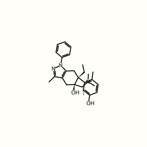 CC[C@]1(c2cc(O)ccc2C)Cc2c(c(C)nn2-c2ccccc2)C[C@@]1(O)[C@@H](C)N(C)C